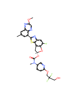 COc1cnc2c(-c3nc4cc(F)c5c(c4s3)C[C@@H](OC(=O)N(C)c3ccc(OCC(F)(F)CO)nc3)O5)cc(C)cc2n1